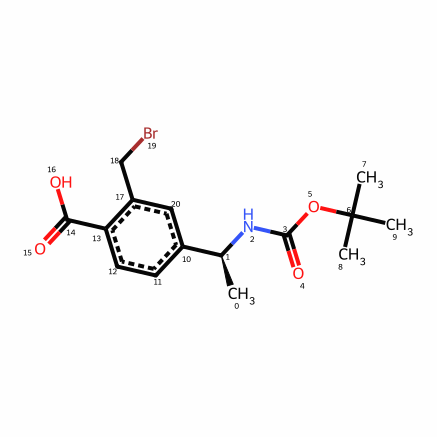 C[C@H](NC(=O)OC(C)(C)C)c1ccc(C(=O)O)c(CBr)c1